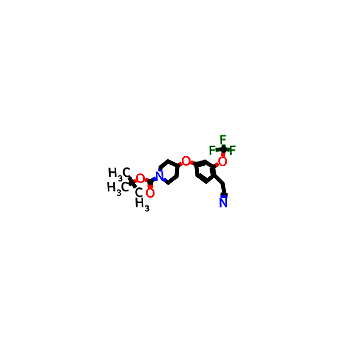 CC(C)(C)OC(=O)N1CCC(Oc2ccc(CC#N)c(OC(F)(F)F)c2)CC1